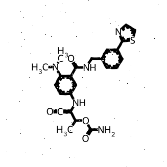 CC(OC(N)=O)C(=C=O)Nc1ccc(N(C)C)c(C(=O)NCc2cccc(-c3nccs3)c2)c1